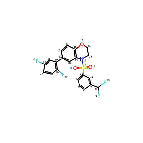 O=S(=O)(c1cccc(C(F)F)c1)N1CCOc2ccc(-c3cc(F)ccc3F)cc21